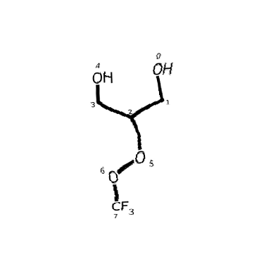 OCC(CO)OOC(F)(F)F